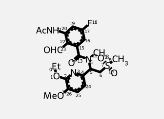 CCOc1nc(C(CS(C)(=O)=O)N(C)C(=O)c2cc(F)cc(NC(C)=O)c2C=O)ccc1OC